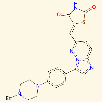 CCN1CCN(c2ccc(-c3cnc4ccc(/C=C5\SC(=O)NC5=O)nn34)cc2)CC1